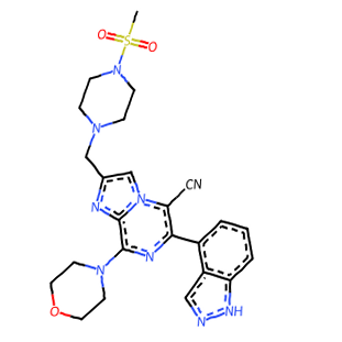 CS(=O)(=O)N1CCN(Cc2cn3c(C#N)c(-c4cccc5[nH]ncc45)nc(N4CCOCC4)c3n2)CC1